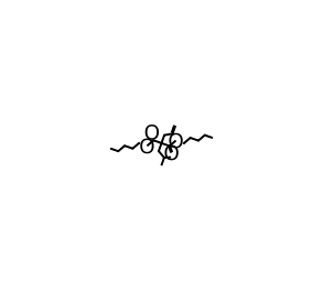 C=CCC(CC(C)C)(C(=O)OCCCCC)C(=O)OCCCCC